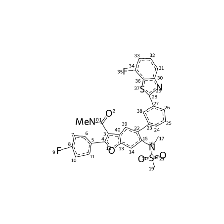 CNC(=O)c1c(-c2ccc(F)cc2)oc2cc(N(C)S(C)(=O)=O)c(-c3cccc(-c4nc5cccc(F)c5s4)c3)cc12